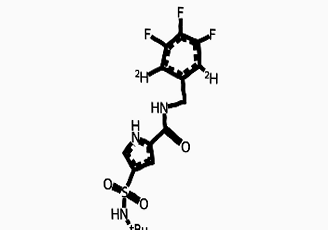 [2H]c1c(F)c(F)c(F)c([2H])c1CNC(=O)c1cc(S(=O)(=O)NC(C)(C)C)c[nH]1